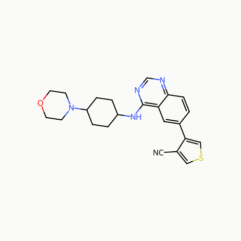 N#Cc1cscc1-c1ccc2ncnc(NC3CCC(N4CCOCC4)CC3)c2c1